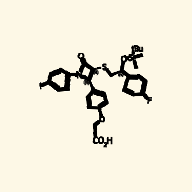 CC(C)(C)[Si](C)(C)O[C@H](CS[C@H]1C(=O)N(c2ccc(I)cc2)[C@@H]1c1ccc(OCC(=O)O)cc1)c1ccc(F)cc1